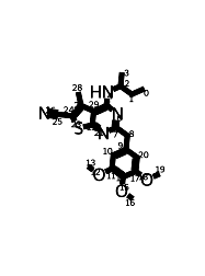 CCC(C)Nc1nc(Cc2cc(OC)c(OC)c(OC)c2)nc2sc(C#N)c(C)c12